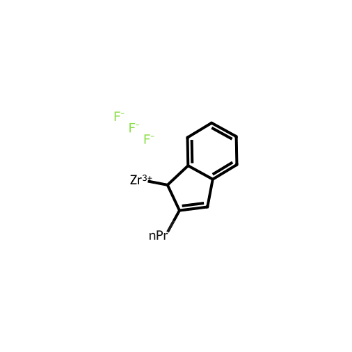 CCCC1=Cc2ccccc2[CH]1[Zr+3].[F-].[F-].[F-]